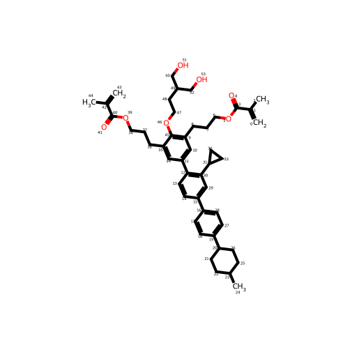 C=C(C)C(=O)OCCCc1cc(-c2ccc(-c3ccc(C4CCC(C)CC4)cc3)cc2C2CC2)cc(CCCOC(=O)C(=C)C)c1OCCC(CO)CO